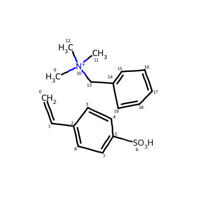 C=Cc1ccc(S(=O)(=O)O)cc1.C[N+](C)(C)Cc1ccccc1